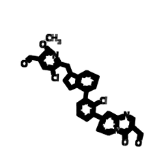 COc1nc(CC2CCc3c(-c4cccc(-c5ccn6c(=O)c(C=O)cnc6c5)c4Cl)cccc32)c(Cl)cc1C=O